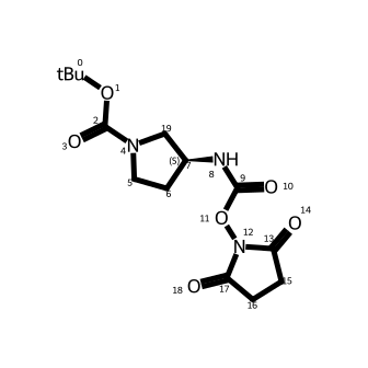 CC(C)(C)OC(=O)N1CC[C@H](NC(=O)ON2C(=O)CCC2=O)C1